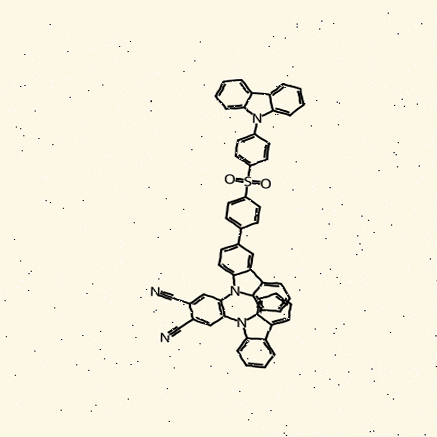 N#Cc1cc(-n2c3ccccc3c3ccccc32)c(-n2c3ccccc3c3cc(-c4ccc(S(=O)(=O)c5ccc(-n6c7ccccc7c7ccccc76)cc5)cc4)ccc32)cc1C#N